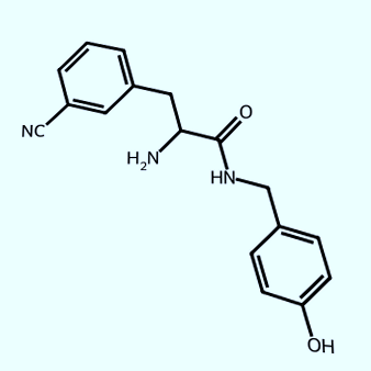 N#Cc1cccc(CC(N)C(=O)NCc2ccc(O)cc2)c1